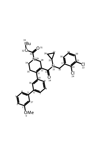 COc1cccc(-c2cccc(C3=C(C(=O)N(Cc4cccc(Cl)c4Cl)C4CC4)CN(C(=O)OC(C)(C)C)CC3)c2)c1